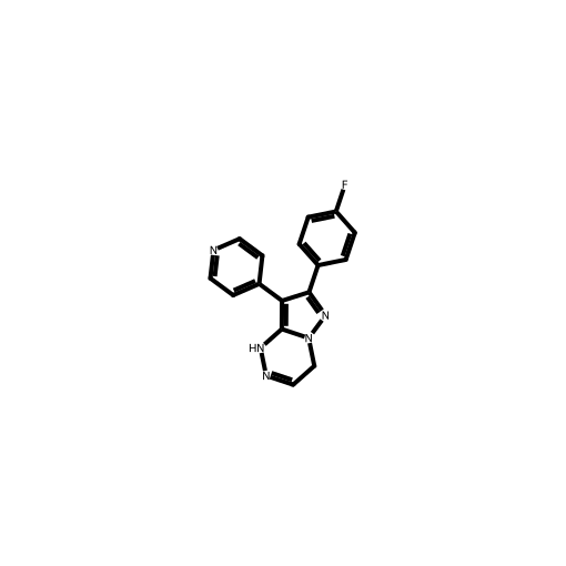 Fc1ccc(-c2nn3c(c2-c2ccncc2)NN=CC3)cc1